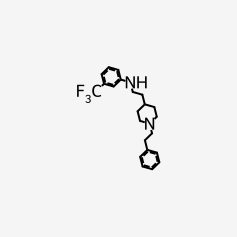 FC(F)(F)c1cccc(NCCC2CCN(CCc3ccccc3)CC2)c1